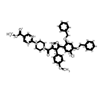 COC(=O)c1cnc(N2CCN(C(=O)c3noc(-c4cc(Cl)c(OCc5ccccc5)cc4OCc4ccccc4)c3-c3ccc(OC)cc3)CC2)nc1